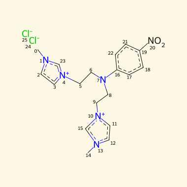 Cn1cc[n+](CCN(CC[n+]2ccn(C)c2)c2ccc([N+](=O)[O-])cc2)c1.[Cl-].[Cl-]